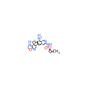 Cc1c(-c2cc3cc(NC(=O)O[C@@H]4CC[C@@H]4C)ncc3c(N)c2F)cnc2c1NCCO2